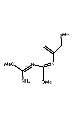 C=C(CSC)/N=C(\N=C(/N)OC)OC